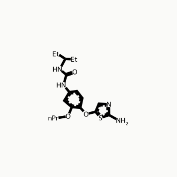 CCCOc1cc(NC(=O)NC(CC)CC)ccc1Oc1cnc(N)s1